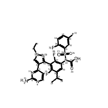 CCn1cc(-c2ccnc(N)n2)c(-c2c(F)c(C(C)C)cc(N(C(=O)O)S(=O)(=O)c3cc(F)ccc3F)c2F)n1